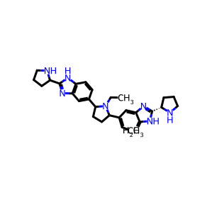 C=c1[nH]c([C@@H]2CCCN2)n/c1=C/C(=C\C)C1CCC(c2ccc3[nH]c(C4CCCN4)nc3c2)N1CC